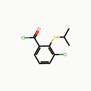 CC(C)Sc1c(Cl)cccc1C(=O)Cl